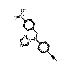 N#Cc1ccc(N(Cc2ccc([N+](=O)[O-])cc2)n2cncn2)cc1